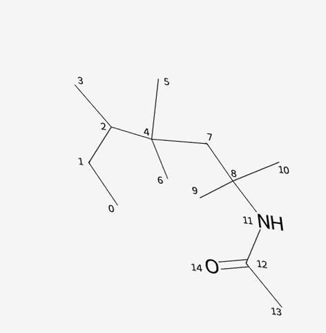 CCC(C)C(C)(C)CC(C)(C)NC(C)=O